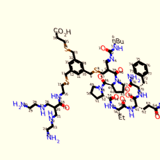 CCCCNC(=O)/N=C/C(CSCc1cc(CSCCNC(=O)C(CNCCN)CNCCN)cc(CSCCC(=O)O)c1)C(=O)N1CCC[C@H]1C(=O)N1CCC[C@H]1C(=O)N[C@@H](CC)C(=O)N[C@@H](CCC(N)=O)C(=O)N[C@@H](Cc1ccccc1)C(N)=O